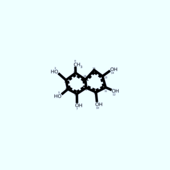 Cc1c(O)c(O)c(O)c2c(O)c(O)c(O)cc12